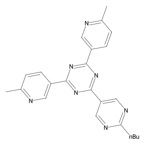 CCCCc1ncc(-c2nc(-c3ccc(C)nc3)nc(-c3ccc(C)nc3)n2)cn1